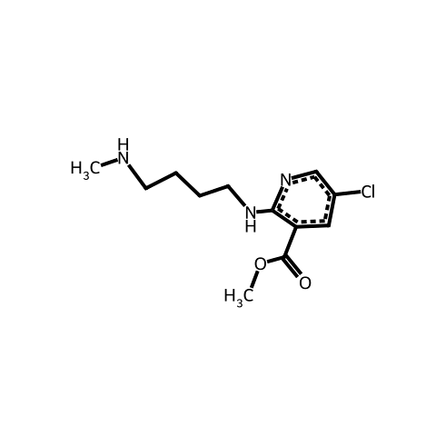 CNCCCCNc1ncc(Cl)cc1C(=O)OC